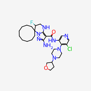 Nc1nn2c(c1C(=O)Nc1cncc(Cl)c1N1CCN(C3CCOC3)CC1)NCC(F)C21CCCCCCCCC1